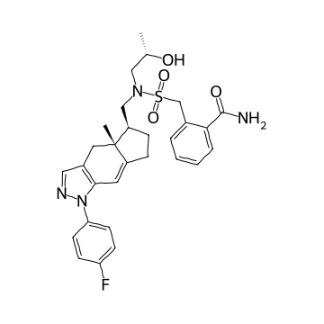 C[C@H](O)CN(C[C@H]1CCC2=Cc3c(cnn3-c3ccc(F)cc3)C[C@@]21C)S(=O)(=O)Cc1ccccc1C(N)=O